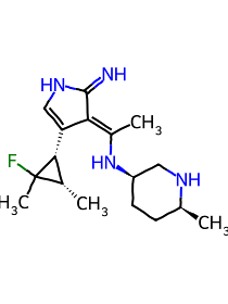 C/C(N[C@@H]1CC[C@H](C)NC1)=C1\C(=N)NC=C1[C@@H]1[C@H](C)C1(C)F